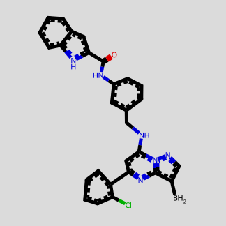 Bc1cnn2c(NCc3cccc(NC(=O)c4cc5ccccc5[nH]4)c3)cc(-c3ccccc3Cl)nc12